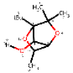 [3H]OC1C2OC(C)(C)C1(C(C)(C)C)OC2C